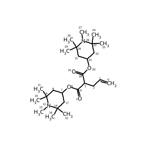 C=CCC(C(=O)OC1CC(C)(C)N(C)C(C)(C)C1)C(=O)OC1CC(C)(C)N(C)C(C)(C)C1